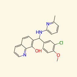 COc1ccc(C(Nc2cccc(C)n2)c2ccc3cccnc3c2O)cc1Cl